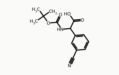 CC(C)(C)OC(=O)NC(C(=O)O)c1cccc(C#N)c1